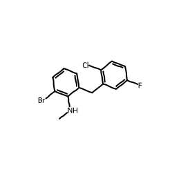 CNc1c(Br)cccc1Cc1cc(F)ccc1Cl